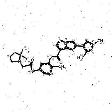 Cc1ncc(NC(=O)CN2CCCC2(C)C)cc1NC(=O)c1cnn2cc(-c3cn(C)nc3C)sc12